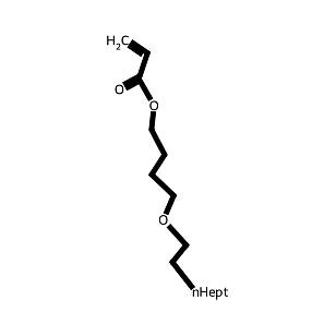 C=CC(=O)OCCCCOCCCCCCCCC